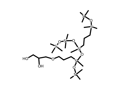 C[Si](C)(C)O[Si](C)(C)CCC[Si](C)(O[Si](C)(C)O[Si](C)(C)C)O[Si](C)(CCCOCC(O)CO)O[Si](C)(C)C